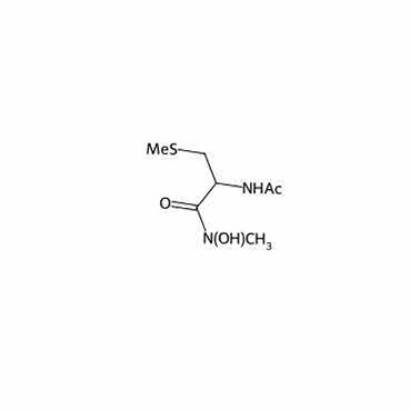 CSCC(NC(C)=O)C(=O)N(C)O